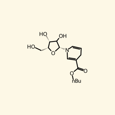 CCCCOC(=O)C1=CN([C@@H]2O[C@H](CO)[C@H](O)C2O)C=CC1